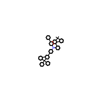 CC1(C)c2ccccc2-c2c(-c3ccccc3N(c3ccc(-c4ccccc4)cc3)c3ccc(-c4ccc5c(c4)-c4ccccc4C5(c4ccccc4)c4ccccc4)cc3)cccc21